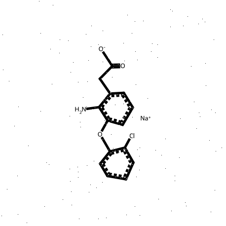 Nc1c(CC(=O)[O-])cccc1Oc1ccccc1Cl.[Na+]